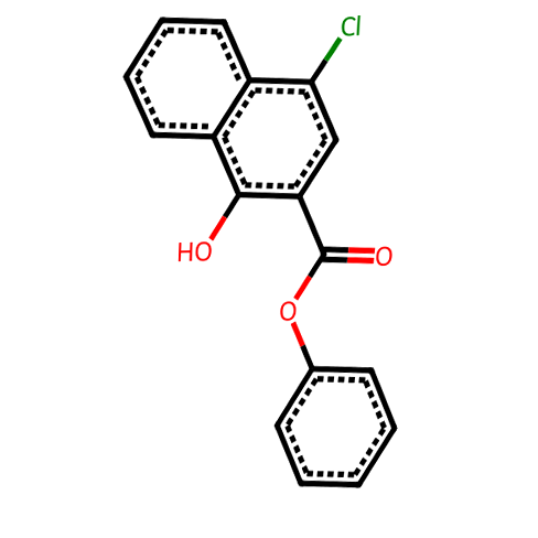 O=C(Oc1ccccc1)c1cc(Cl)c2ccccc2c1O